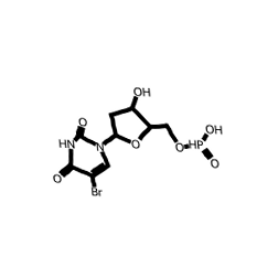 O=c1[nH]c(=O)n(C2CC(O)C(CO[PH](=O)O)O2)cc1Br